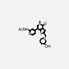 CC(=O)Nc1cc(-c2cn(C)c(=O)c3cc(CN4CCCC(O)C4)sc23)ccn1